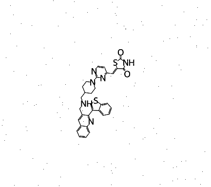 O=C1NC(=O)/C(=C/c2ccnc(N3CCC(CNCc4cc5ccccc5nc4-c4csc5ccccc45)CC3)n2)S1